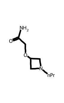 CCCN1CC(OCC(N)=O)C1